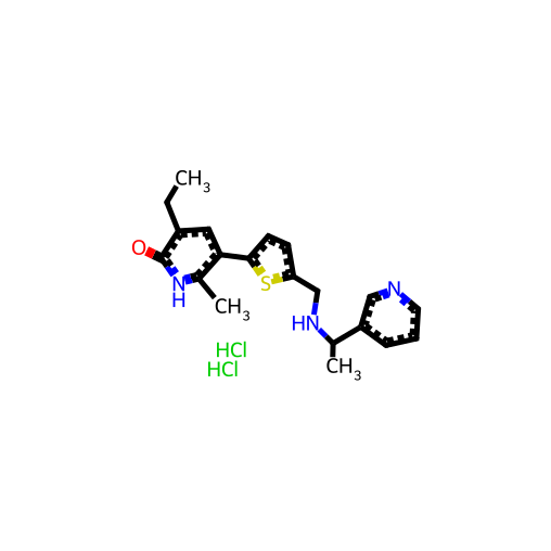 CCc1cc(-c2ccc(CNC(C)c3cccnc3)s2)c(C)[nH]c1=O.Cl.Cl